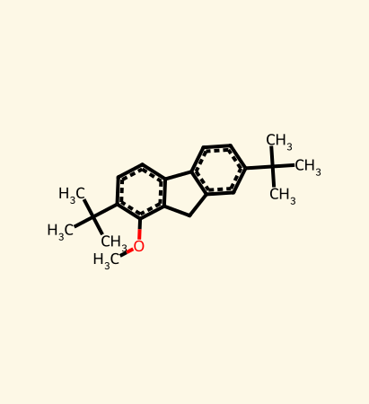 COc1c(C(C)(C)C)ccc2c1Cc1cc(C(C)(C)C)ccc1-2